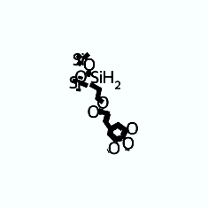 COc1cc(/C=C/C(=O)OCCC[SiH2]C(O[Si](C)(C)C)O[Si](C)(C)C)cc(OC)c1OC